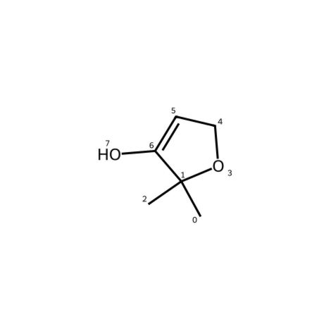 CC1(C)OCC=C1O